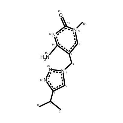 CC(C)c1cn(Cc2cn(C)c(=O)nc2N)nn1